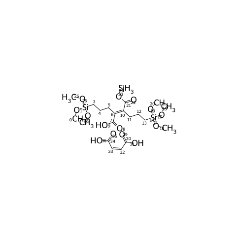 CO[Si](CCC/C(C(=O)O)=C(/CCC[Si](OC)(OC)OC)C(=O)O[SiH3])(OC)OC.O=C(O)/C=C\C(=O)O